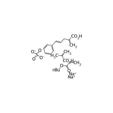 C=C(C)C(=O)O.C=C(CC=Cc1ccccc1)C(=O)O.C=CC(=O)OCCCC.O=S(=O)([O-])[O-].[Na+].[Na+]